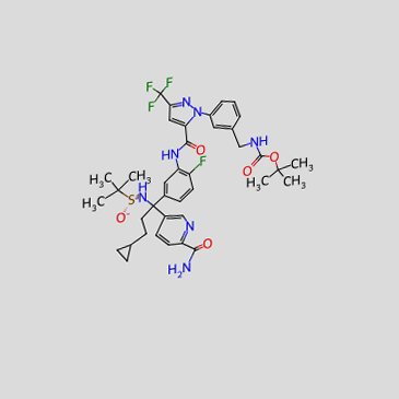 CC(C)(C)OC(=O)NCc1cccc(-n2nc(C(F)(F)F)cc2C(=O)Nc2cc(C(CCC3CC3)(N[S@+]([O-])C(C)(C)C)c3ccc(C(N)=O)nc3)ccc2F)c1